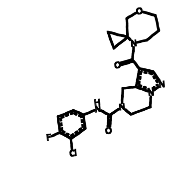 O=C(Nc1ccc(F)c(Cl)c1)N1CCn2ncc(C(=O)N3CCCOCC34CC4)c2C1